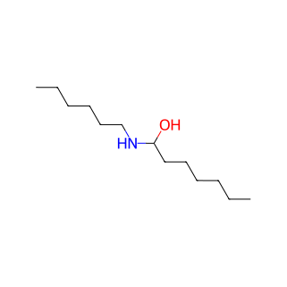 CCCCCCNC(O)CCCCCC